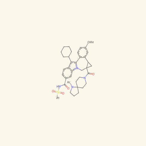 COc1ccc2c(c1)C1CC1(C(=O)N1CCC3(CCCN3C(C)=O)CC1)Cn1c-2c(C2CCCCC2)c2ccc(C(=O)NS(=O)(=O)C(C)C)cc21